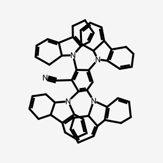 N#Cc1c(N2C3=C(CCC=C3)C3=CC=CCC32)c(N2C3=C(CCC=C3)C3=CC=CCC32)cc(N2C3=C(CCC=C3)C3=CC=CCC32)c1N1C2=C(CCC=C2)C2CC=CCC21